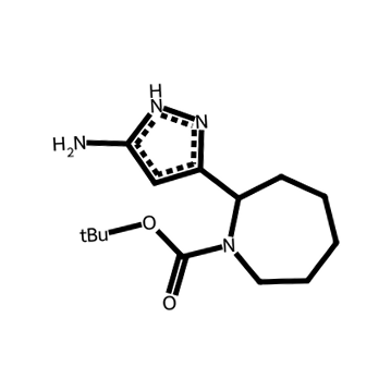 CC(C)(C)OC(=O)N1CCCCCC1c1cc(N)[nH]n1